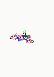 COCCN1C(=O)c2oc3ccccc3c2OCC1(C)C(=O)NCc1c(F)c(Cl)cc(COCCN2C(=O)c3oc4ccccc4c3OCC2(C)C(=O)NCc2ncccc2OC)c1OC